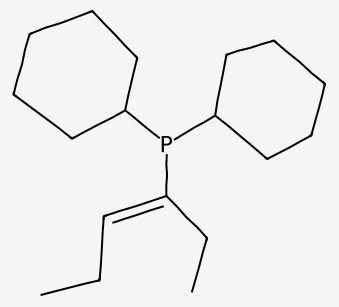 CC/C=C(\CC)P(C1CCCCC1)C1CCCCC1